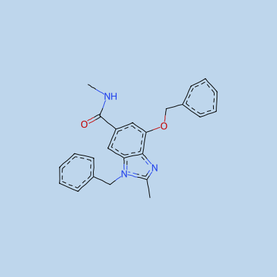 CNC(=O)c1cc(OCc2ccccc2)c2nc(C)n(Cc3ccccc3)c2c1